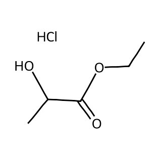 CCOC(=O)C(C)O.Cl